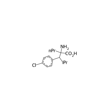 CCCC(N)(C(=O)O)C(c1ccc(Cl)cc1)C(C)C